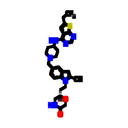 N#Cc1cc2cc(CN3CCC(Nc4ncnc5sc(CC(F)(F)F)cc45)CC3)ccc2n1CC[C@H]1CNC(=O)CO1